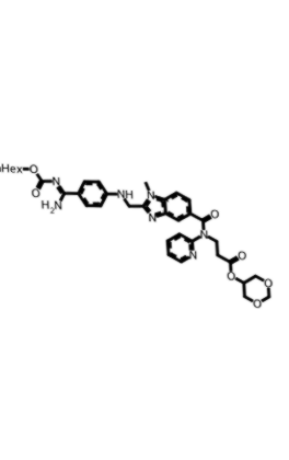 CCCCCCOC(=O)/N=C(\N)c1ccc(NCc2nc3cc(C(=O)N(CCC(=O)OC4COCOC4)c4ccccn4)ccc3n2C)cc1